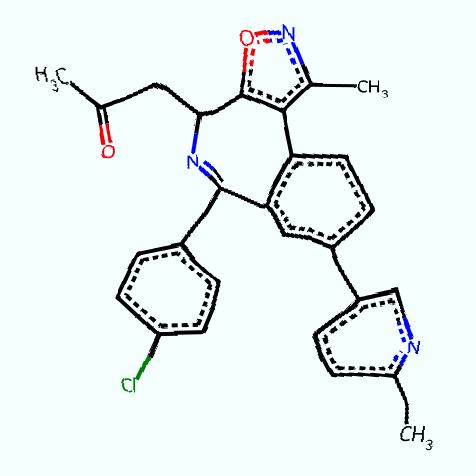 CC(=O)CC1N=C(c2ccc(Cl)cc2)c2cc(-c3ccc(C)nc3)ccc2-c2c(C)noc21